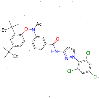 CCC(C)(C)c1ccc(ON(C(C)=O)c2cccc(C(=O)Nc3ccn(-c4c(Cl)cc(Cl)cc4Cl)n3)c2)c(C(C)(C)CC)c1